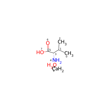 CC(C)[C@H](N)C(=O)O.O.[CaH2]